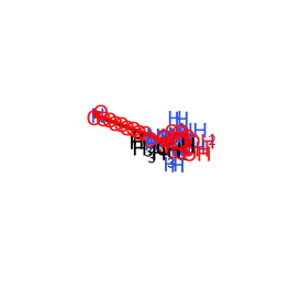 CC[C@H](C)[C@@H]1NC(=O)CNC(=O)[C@@H]2Cc3c([nH]c4c(CSCCCCNC(=O)CCOCCOCCOCCOCCOCCOCCOCCOCCN5C(=O)C=CC5=O)c(OC)ccc34)[S+]([O-])CC(NC(=O)CNC1=O)C(=O)N[C@@H](CC(N)=O)C(=O)N1C[C@H](O)C[C@H]1C(=O)N[C@@H]([C@@H](C)[C@@H](O)CO)C(=O)N2